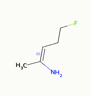 C/C(N)=C/CCF